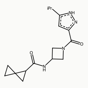 CC(C)c1cc(C(=O)N2CC(NC(=O)C3CC34CC4)C2)n[nH]1